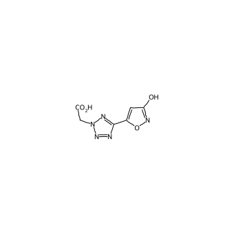 O=C(O)Cn1nnc(-c2cc(O)no2)n1